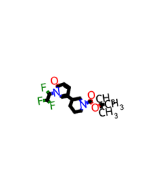 CC(C)(C)OC(=O)N1CCCC(c2ccc(=O)n(C(F)C(F)F)c2)C1